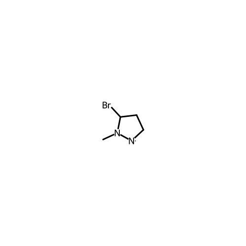 CN1[N]CCC1Br